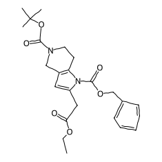 CCOC(=O)Cc1cc2c(n1C(=O)OCc1ccccc1)CCN(C(=O)OC(C)(C)C)C2